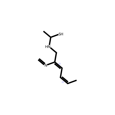 C=N/C(=C\C=C/C)CNC(C)S